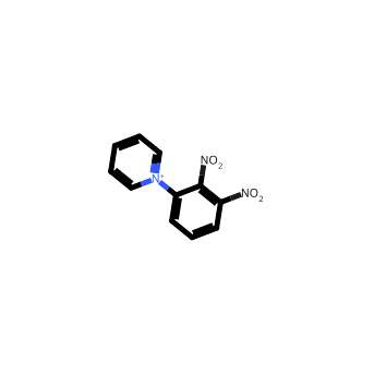 O=[N+]([O-])c1cccc(-[n+]2ccccc2)c1[N+](=O)[O-]